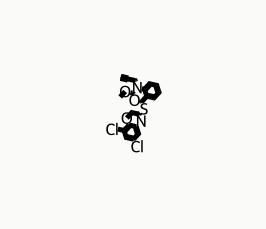 C#CCN(C(=O)OC)c1ccccc1CSC1=Nc2cc(Cl)cc(Cl)c2OC1